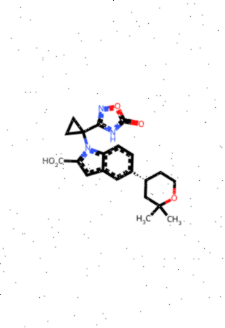 CC1(C)C[C@H](c2ccc3c(c2)cc(C(=O)O)n3C2(c3noc(=O)[nH]3)CC2)CCO1